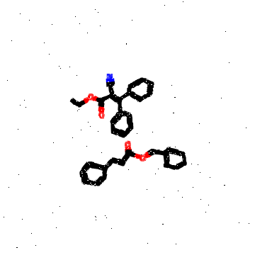 CCOC(=O)C(C#N)=C(c1ccccc1)c1ccccc1.O=C(/C=C/c1ccccc1)OCc1ccccc1